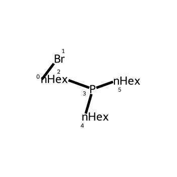 CBr.CCCCCCP(CCCCCC)CCCCCC